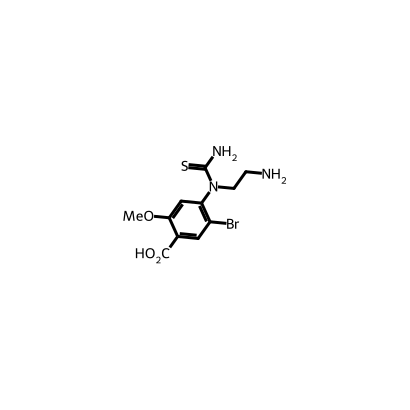 COc1cc(N(CCN)C(N)=S)c(Br)cc1C(=O)O